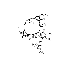 COc1cc2cc(c1Cl)N(C)C(=O)C[C@H](OC(=O)[C@H](C)N(C)C(=O)CCC(C)(C)SSC)[C@]1(C)O[C@H]1[C@H](C)[C@@H]1C[C@@](O)(NC(=O)O1)[C@H](OC)/C=C/C=C(\C)C2